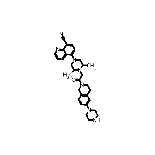 CC1CN(c2ccc(C#N)c3ncccc23)CC(C)N1CC(=O)N1CCc2cc(N3CCNCC3)ccc2C1